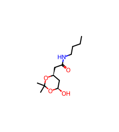 CCCCNC(=O)C[C@H]1C[C@@H](O)OC(C)(C)O1